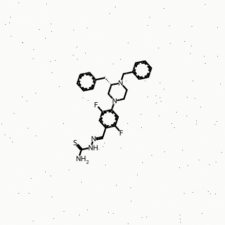 NC(=S)NN=Cc1cc(F)c(N2CCN(Cc3ccccc3)[C@@H](Cc3ccccc3)C2)cc1F